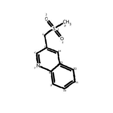 CS(=O)(=O)Cc1cnc2ccccc2c1